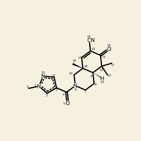 Cn1cc(C(=O)N2CC[C@@H]3C(C)(C)C(=O)C(C#N)=C[C@@]3(C)C2)cn1